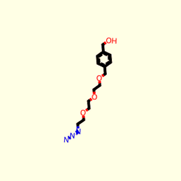 [N-]=[N+]=NCCOCCOCCOCc1ccc(CO)cc1